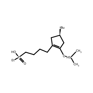 CCP(=O)(O)CCCCC1=C(O[SiH](C)C)C[C@H](C(C)(C)C)C1